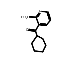 O=C(O)c1ncccc1C(=O)C1CCCCC1